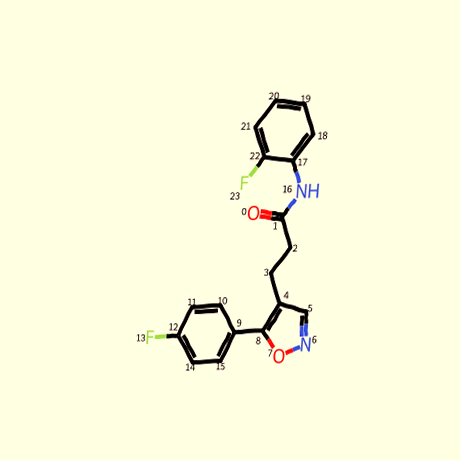 O=C(CCc1cnoc1-c1ccc(F)cc1)Nc1ccccc1F